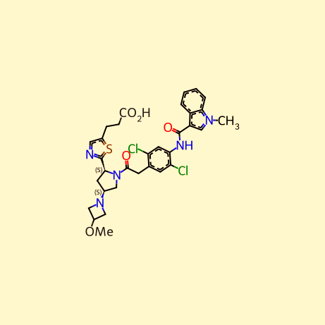 COC1CN([C@H]2C[C@@H](c3ncc(CCC(=O)O)s3)N(C(=O)Cc3cc(Cl)c(NC(=O)c4cn(C)c5ccccc45)cc3Cl)C2)C1